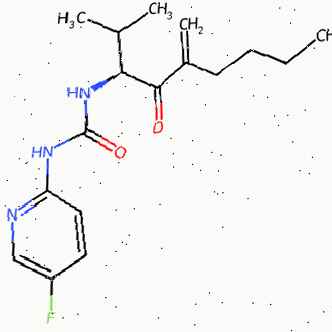 C=C(CCCC)C(=O)[C@@H](NC(=O)Nc1ccc(F)cn1)C(C)C